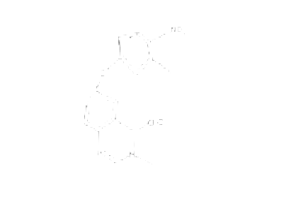 Cc1cc(Oc2ccc3c(c2)C(C=O)N(C)C=N3)ccc1[N+](=O)[O-]